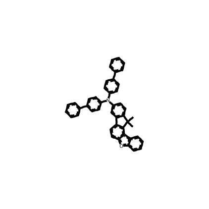 CC1(C)c2ccc(N(c3ccc(-c4ccccc4)cc3)c3ccc(-c4ccccc4)cc3)cc2-c2ccc3oc4ccccc4c3c21